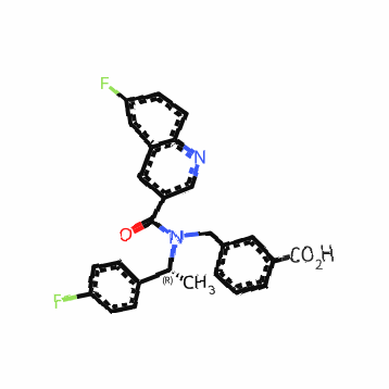 C[C@H](c1ccc(F)cc1)N(Cc1cccc(C(=O)O)c1)C(=O)c1cnc2ccc(F)cc2c1